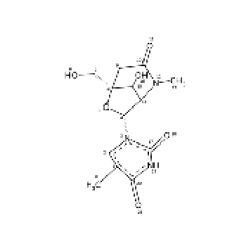 Cc1cn([C@@H]2O[C@@]3(CO)CC(=O)N(C)C2C3O)c(=O)[nH]c1=O